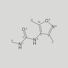 CNC(=O)Nc1c(C)noc1C